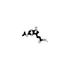 CC(C)Oc1cnc2[nH]cc(/C=C/C(N)=O)c2n1